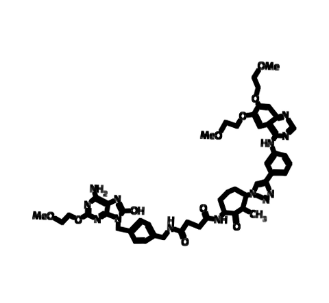 COCCOc1nc(N)c2nc(O)n(Cc3ccc(CNC(=O)CCC(=O)NC4CCCC(n5cc(-c6cccc(Nc7ncnc8cc(OCCOC)c(OCCOC)cc78)c6)nn5)C(C)C4=O)cc3)c2n1